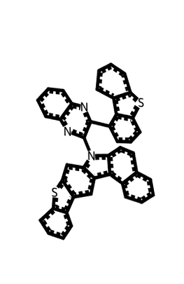 c1ccc2c(c1)ccc1c2c2cc3c(cc2n1-c1nc2ccccc2nc1-c1cccc2sc4ccccc4c12)sc1ccccc13